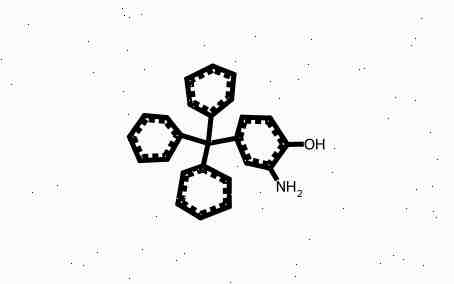 Nc1cc(C(c2ccccc2)(c2ccccc2)c2ccccc2)ccc1O